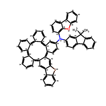 CC1(C)c2ccccc2-c2ccc(N(c3ccc4c(c3)c3ccccc3c3ccccc3c3ccccc3c3cc5c(cc43)sc3ccccc35)c3cccc4c3oc3ccccc34)cc21